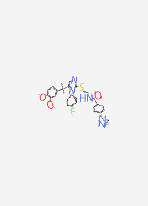 COc1ccc(C(C)(C)c2cnc(SCCNC(=O)c3ccc(-n4ccnc4)cc3)n2-c2ccc(F)cc2)cc1OC